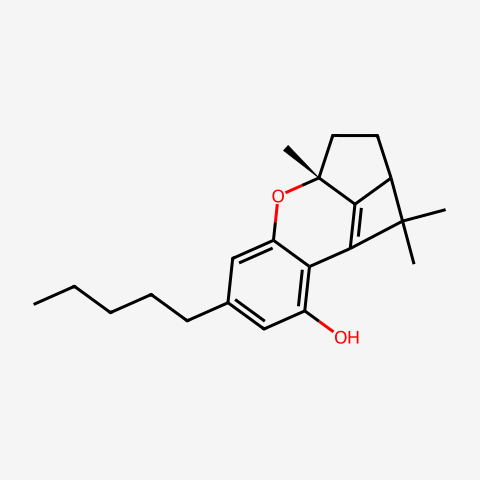 CCCCCc1cc(O)c2c(c1)O[C@]1(C)CCC3C1=C2C3(C)C